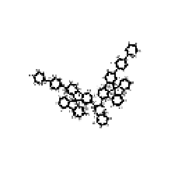 c1ccc(-c2ccc(-c3ccc4c(c3)C3(c5ccccc5-c5ccccc53)c3cc(-c5nc6ccccc6nc5-c5ccc6c(c5)C5(c7ccccc7-c7ccccc75)c5cc(-c7ccc(-c8ccccn8)cc7)ccc5-6)ccc3-4)cc2)nc1